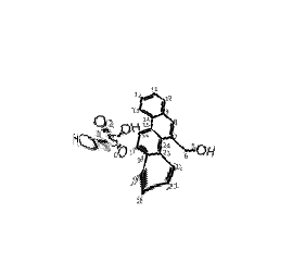 O=S(=O)(O)O.OCc1cc2ccccc2c2ccc3ccccc3c12